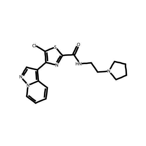 O=C(NCCN1CCCC1)c1nc(-c2cnn3ccccc23)c(Cl)s1